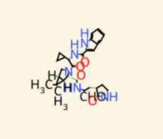 CC1(C)[C@@H]2[C@@H](C(=O)N[C@H](C=O)C[C@@H]3CCNC3=O)N(C(=O)[C@@H](NC(=O)c3cc4ccccc4[nH]3)C3CC3)C[C@@H]21